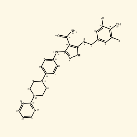 Cc1cc(CNc2[nH]nc(Nc3ccc(N4CCN(c5ncccn5)CC4)cc3)c2C(N)=O)cc(C)c1O